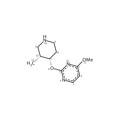 COc1ccnc(O[C@H]2CCNC[C@H]2C)n1